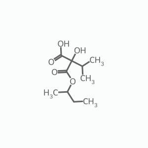 CCC(C)OC(=O)C(O)(C(=O)O)C(C)C